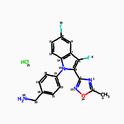 Cc1nc(-c2c(F)c3cc(F)ccc3n2-c2ccc(CN)cc2)no1.Cl